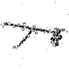 CC(C)[C@H](NC(=O)[C@@H]1CCCN1C(=O)[C@H](CC(N)=O)NC(=O)CCOCCOCCOCCNC(=O)[C@H](CCCCNC(=O)CCOCCOCCOCCN)NC(=O)CCOCCOCCOCCN)C(=O)OC(=O)C(F)(F)F